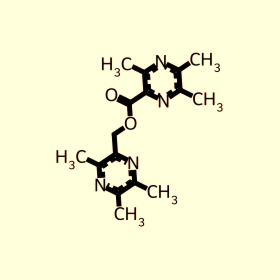 Cc1nc(C)c(COC(=O)c2nc(C)c(C)nc2C)nc1C